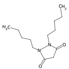 CCCCCN1C(=O)CC(=O)N1CCCCC